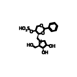 O=S(=O)(O)O[C@H]1COC(c2ccccc2)O[C@@H]1CN1C[C@@H](O)[C@H](O)[C@H]1CO